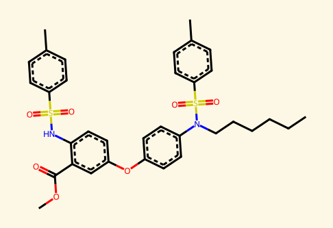 CCCCCCN(c1ccc(Oc2ccc(NS(=O)(=O)c3ccc(C)cc3)c(C(=O)OC)c2)cc1)S(=O)(=O)c1ccc(C)cc1